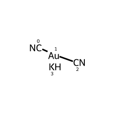 N#[C][Au][C]#N.[KH]